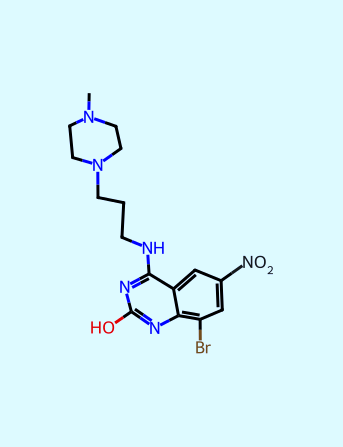 CN1CCN(CCCNc2nc(O)nc3c(Br)cc([N+](=O)[O-])cc23)CC1